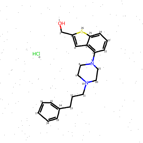 Cl.OCc1cc2c(N3CCN(CCCc4ccccc4)CC3)cccc2s1